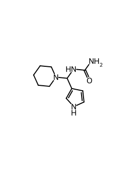 NC(=O)NC(c1cc[nH]c1)N1CCCCC1